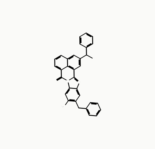 CC(c1ccccc1)c1cc2cccc3c(=O)n4c5cc(C#N)c(Cc6ccccc6)cc5nc4c(c1)c23